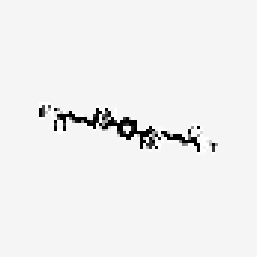 CC(C)C(=O)CCCCn1cc(-c2ccc(-c3cn(CCCCC(=O)C(C)C)nn3)cc2)nn1